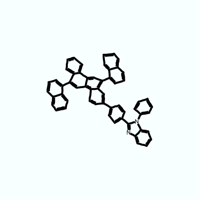 c1ccc(-n2c(-c3ccc(-c4ccc5c(c4)c(-c4cccc6ccccc46)cc4c6ccccc6c(-c6cccc7ccccc67)cc54)cc3)nc3ccccc32)cc1